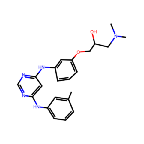 Cc1cccc(Nc2cc(Nc3cccc(OCC(O)CN(C)C)c3)ncn2)c1